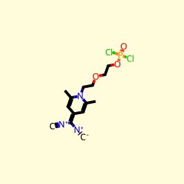 [C-]#[N+]C([N+]#[C-])=C1C=C(C)N(CCOCCOP(=O)(Cl)Cl)C(C)=C1